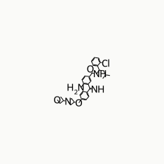 CC(C)CC(NC(=O)c1ccc(N)c(C(=N)c2ccc(OC3CN(C4COC4)C3)cc2)c1)c1ccccc1Cl